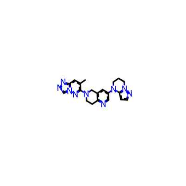 Cc1cc2nncn2nc1N1CCc2ncc(N3CCCn4nccc43)cc2C1